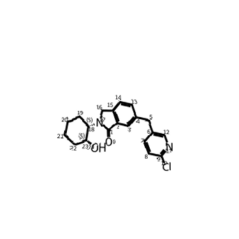 O=C1c2cc(Cc3ccc(Cl)nc3)ccc2CN1[C@H]1CCCC[C@@H]1O